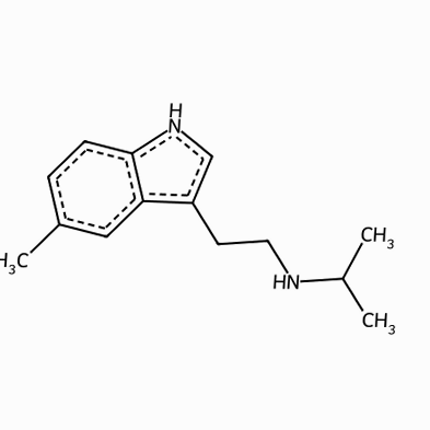 Cc1ccc2[nH]cc(CCNC(C)C)c2c1